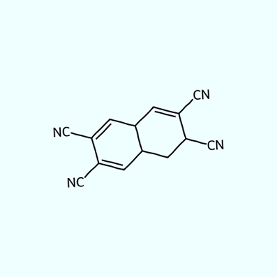 N#CC1=CC2C=C(C#N)C(C#N)CC2C=C1C#N